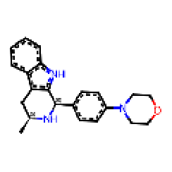 C[C@H]1Cc2c([nH]c3ccccc23)[C@@H](c2ccc(N3CCOCC3)cc2)N1